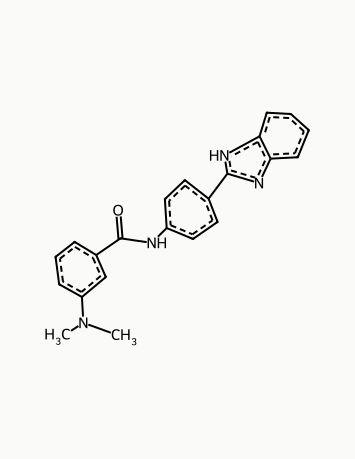 CN(C)c1cccc(C(=O)Nc2ccc(-c3nc4ccccc4[nH]3)cc2)c1